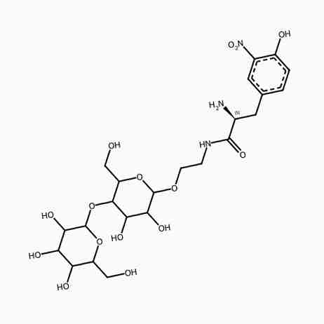 N[C@@H](Cc1ccc(O)c([N+](=O)[O-])c1)C(=O)NCCOC1OC(CO)C(OC2OC(CO)C(O)C(O)C2O)C(O)C1O